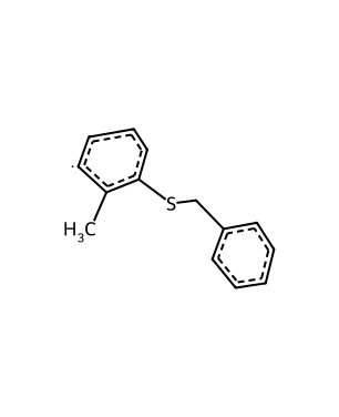 Cc1[c]cccc1SCc1ccccc1